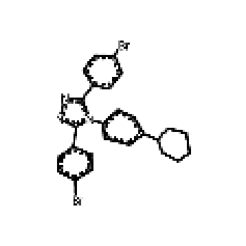 Brc1ccc(-c2nnc(-c3ccc(Br)cc3)n2-c2ccc(C3CCCCC3)cc2)cc1